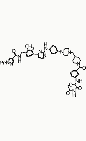 Cc1cc(-c2ccnc(Nc3ccc(N4CCN(CC5CCN(C(=O)c6cccc(NC7CCC(=O)NC7=O)c6)CC5)CC4)cc3)n2)ccc1CNC(=O)c1cnn(C(C)C)c1